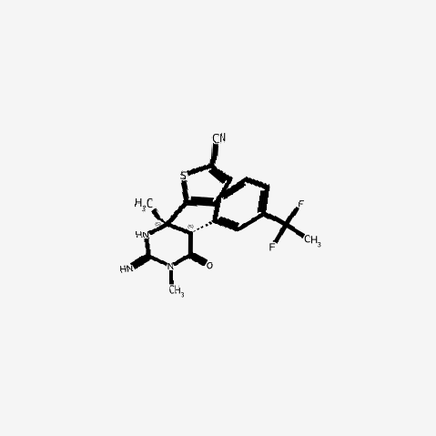 CN1C(=N)N[C@](C)(c2ccc(C#N)s2)[C@H](c2cccc(C(C)(F)F)c2)C1=O